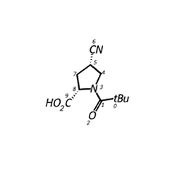 CC(C)(C)C(=O)N1C[C@@H](C#N)C[C@H]1C(=O)O